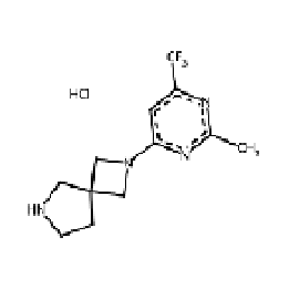 Cc1nc(N2CC3(CCNC3)C2)cc(C(F)(F)F)n1.Cl